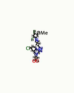 COc1cc(N2CC3(CC(c4nnc5n4-c4ccc(Cl)cc4CN(C4CS(=O)(=O)C4)C5)C3)C2)c(F)cc1F